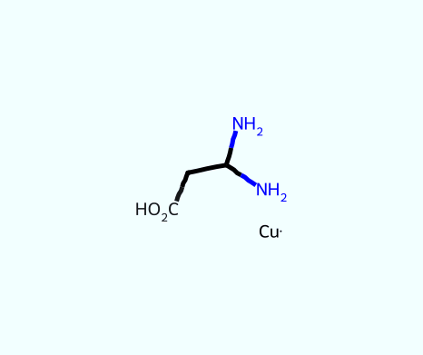 NC(N)CC(=O)O.[Cu]